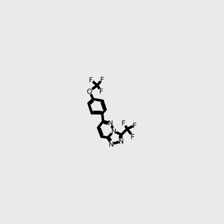 FC(F)(F)Oc1ccc(-c2ccc3nnc(C(F)(F)F)n3n2)cc1